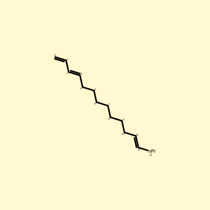 C=CC=CCCCCCCCC=CCCC